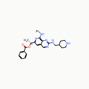 CC(C)Nc1nc([C@@H](C)OC(=O)c2ccccc2)cc2cnc(NCC3CCNCC3)nc12